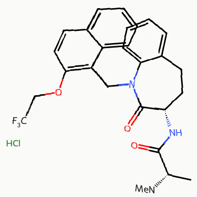 CN[C@@H](C)C(=O)N[C@H]1CCc2ccccc2N(Cc2c(OCC(F)(F)F)ccc3ccccc23)C1=O.Cl